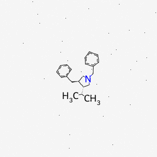 CC(C)[C@H]1CN(Cc2ccccc2)C[C@@H]1Cc1ccccc1